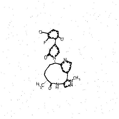 C[C@@H]1CCC[C@H](n2ccc(-c3c(Cl)ccc(Cl)c3F)cc2=O)c2cc(ccn2)-c2c(cnn2C)NC1=O